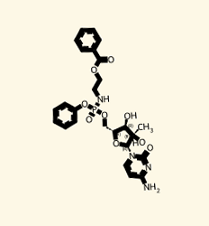 C[C@@]1(O)[C@H](O)[C@@H](COP(=O)(NCCOC(=O)c2ccccc2)Oc2ccccc2)O[C@H]1n1ccc(N)nc1=O